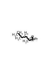 CC(C)=CCCC(C)=CCCC(C)=CCCC(C)=CC1=N[C@H](C(C)C)C(=O)O1